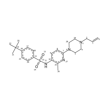 C=CCN1CCN(c2ccc(NS(=O)(=O)c3ccc(C(C)(C)C)cc3)c(C)n2)CC1